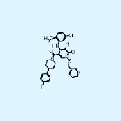 Cc1ccc(Cl)cc1Nc1c(C(=O)N2CCC(c3ccc(F)cc3)CC2)cn(OCc2cccnc2)c(=O)c1Cl